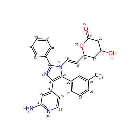 Nc1cc(-c2nc(-c3ccccc3)n(/C=C/C3CC(O)CC(=O)O3)c2-c2cccc(C(F)(F)F)c2)ccn1